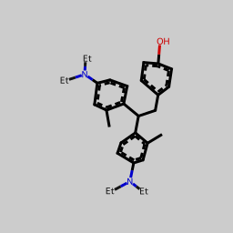 CCN(CC)c1ccc(C(Cc2ccc(O)cc2)c2ccc(N(CC)CC)cc2C)c(C)c1